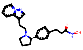 O=C(CCc1ccc([C@H]2CCCN2CCc2cnn3ccccc23)cc1)NO